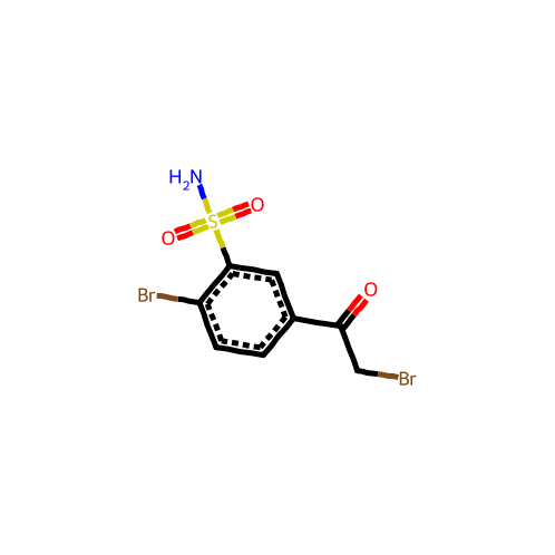 NS(=O)(=O)c1cc(C(=O)CBr)ccc1Br